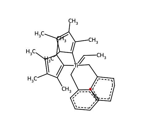 C[CH]=[Ti]([CH2]c1ccccc1)([CH2]c1ccccc1)([C]1=C(C)C(C)=C(C)C1C)[C]1=C(C)C(C)=C(C)C1C